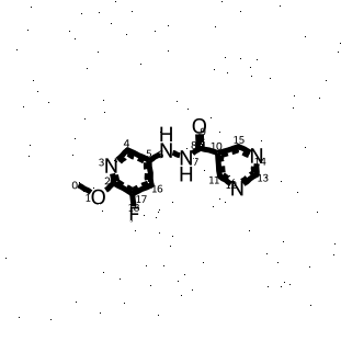 COc1ncc(NNC(=O)c2cncnc2)cc1F